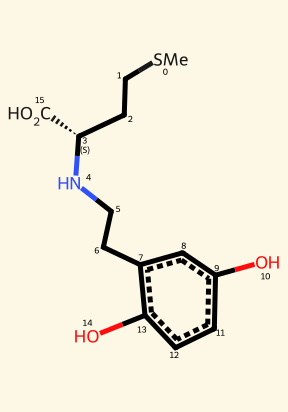 CSCC[C@H](NCCc1cc(O)ccc1O)C(=O)O